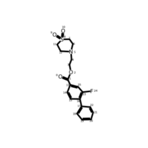 O=C(OCCN1CCS(=O)(=O)CC1)c1ccc(-c2ccccc2)c(F)c1